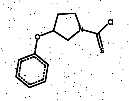 S=C(Cl)N1CCC(Oc2ccccc2)C1